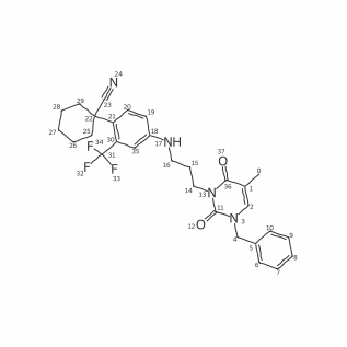 Cc1cn(Cc2ccccc2)c(=O)n(CCCNc2ccc(C3(C#N)CCCCC3)c(C(F)(F)F)c2)c1=O